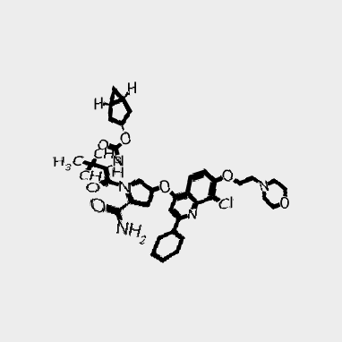 CC(C)(C)[C@H](NC(=O)O[C@@H]1C[C@@H]2C[C@@H]2C1)C(=O)N1CC(Oc2cc(C3CCCCC3)nc3c(Cl)c(OCCN4CCOCC4)ccc23)C[C@H]1C(N)=O